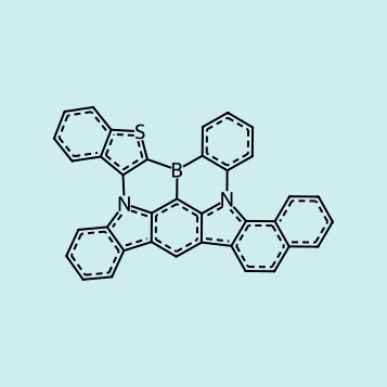 c1ccc2c(c1)B1c3sc4ccccc4c3-n3c4ccccc4c4cc5c6ccc7ccccc7c6n-2c5c1c43